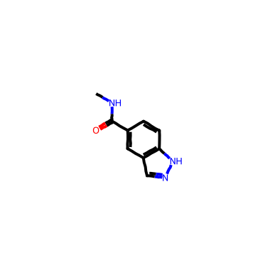 CNC(=O)c1ccc2[nH]ncc2c1